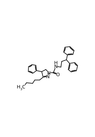 CCCCCC1=NN(C(=O)NCCC(c2ccccc2)c2ccccc2)CC1c1ccccc1